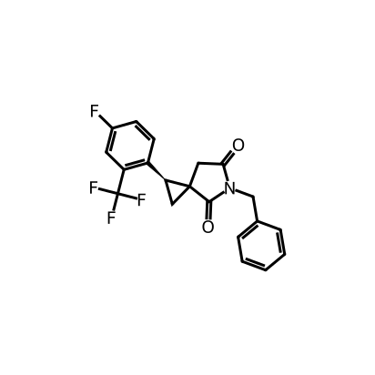 O=C1CC2(C[C@H]2c2ccc(F)cc2C(F)(F)F)C(=O)N1Cc1ccccc1